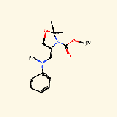 CC(C)N(C[C@H]1COC(C)(C)N1C(=O)OC(C)(C)C)c1ccccc1